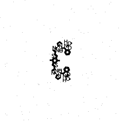 COC(=O)NC(C(=O)N1CCC[C@H]1c1ncc(-c2cc3c(C)c4sc(-c5cnc([C@@H]6CCCN6C(=O)C(NC(=O)OC)c6ccccc6)[nH]5)cc4c(C)c3s2)[nH]1)c1ccccc1